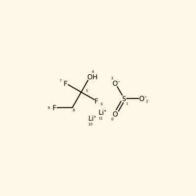 O=S([O-])[O-].OC(F)(F)CF.[Li+].[Li+]